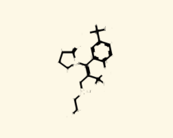 CC1(C)Oc2ccc(C(F)(F)C(F)(F)F)cc2C(N2CCCC2=O)=C1CNCCO